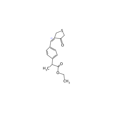 CCOC(=O)C(C)c1ccc(/C=C2/CSCC2=O)cc1